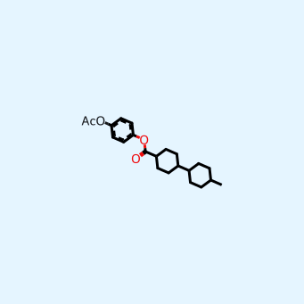 CC(=O)Oc1ccc(OC(=O)C2CCC(C3CCC(C)CC3)CC2)cc1